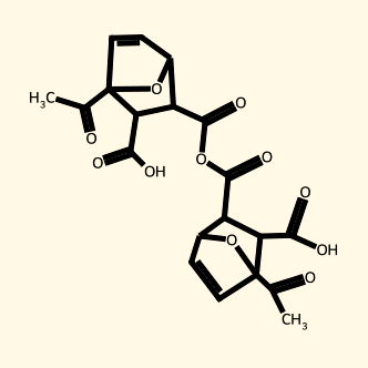 CC(=O)C12C=CC(O1)C(C(=O)OC(=O)C1C3C=CC(C(C)=O)(O3)C1C(=O)O)C2C(=O)O